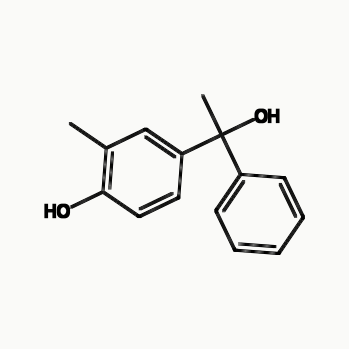 Cc1cc(C(C)(O)c2ccccc2)ccc1O